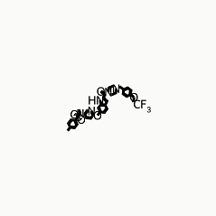 Cc1ccc(S(=O)(=O)N(C)c2ccc(Oc3ccc4cc(C(=O)N5CCN(Cc6ccc(OCC(F)(F)F)cc6)CC5)[nH]c4c3)nc2)cc1